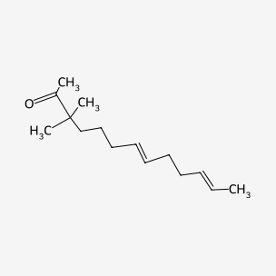 CC=CCCC=CCCCC(C)(C)C(C)=O